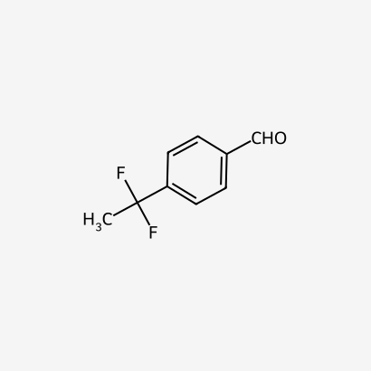 CC(F)(F)c1ccc(C=O)cc1